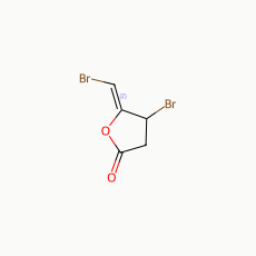 O=C1CC(Br)/C(=C/Br)O1